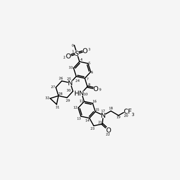 CS(=O)(=O)c1ccc(C(=O)Nc2ccc3c(c2)N(CCC(F)(F)F)C(=O)C3)c(N2CCC3(CC2)CC3)c1